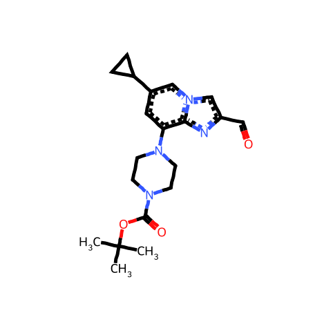 CC(C)(C)OC(=O)N1CCN(c2cc(C3CC3)cn3cc(C=O)nc23)CC1